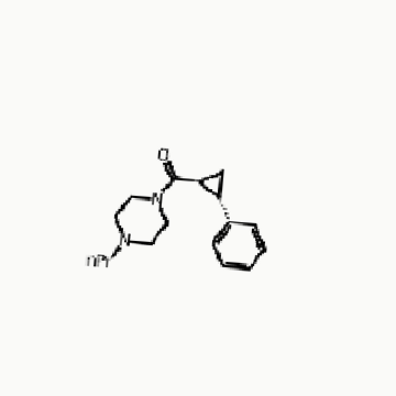 CCCN1CCN(C(=O)[C@H]2C[C@@H]2c2ccccc2)CC1